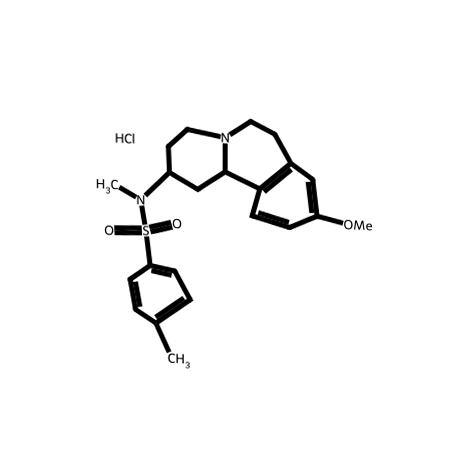 COc1ccc2c(c1)CCN1CCC(N(C)S(=O)(=O)c3ccc(C)cc3)CC21.Cl